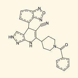 N#CC1=C(C2CCN(C(=O)c3ccccc3)CC2)Nc2n[nH]cc2C1c1cccc2nonc12